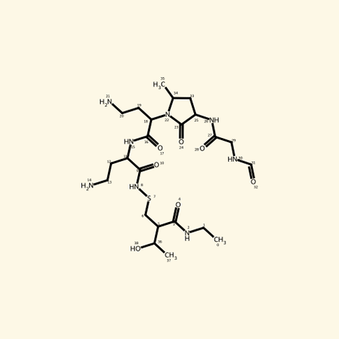 CCNC(=O)C(CSNC(=O)C(CCN)NC(=O)C(CCN)N1C(=O)C(NC(=O)CNC=O)CC1C)C(C)O